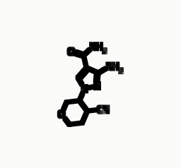 N#CC1CCOCC1n1cc(C(N)=O)c(N)n1